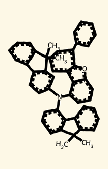 CC1(C)c2ccccc2-c2ccc(N(c3cccc4c3-c3ccccc3C4(C)C)c3cccc4oc5c(-c6ccccc6)cccc5c34)cc21